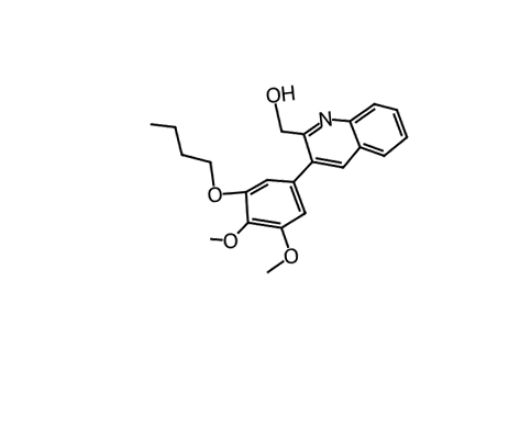 CCCCOc1cc(-c2cc3ccccc3nc2CO)cc(OC)c1OC